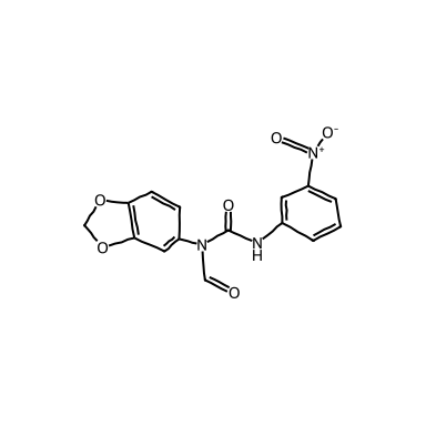 O=CN(C(=O)Nc1cccc([N+](=O)[O-])c1)c1ccc2c(c1)OCO2